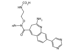 CCCN(OCCNC(=O)O)C(=O)C1=Cc2ccc(-c3cncnc3)cc2N=C(N)C1